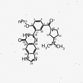 CCCOc1ccc(C(=O)N2CCC(N(C)C)C2)cc1-c1nc2cc3nc[nH]c3cc2c(=O)[nH]1